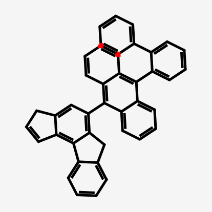 C1=Cc2c(cc(-c3c4ccccc4c(-c4ccccc4-c4ccccc4)c4ccccc34)c3c2-c2ccccc2C3)C1